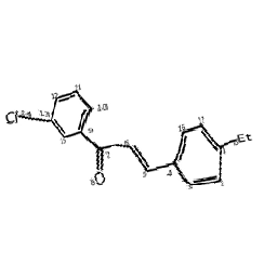 CCc1ccc(C=CC(=O)c2cccc(Cl)c2)cc1